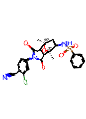 C[C@]12O[C@](C)(CC1NS(=O)(=O)c1ccccc1)C1C(=O)N(c3ccc(C#N)c(Cl)c3)C(=O)C12